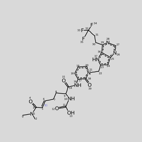 CN(C)C(=O)/C=C/CCC(NC(=O)O)C(=O)Nc1cccn(Cc2cc3ncnc(CCC(F)(F)F)c3[nH]2)c1=O